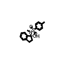 Cc1ccc(S(=O)(=O)N(C)[C@@]2(O)CCc3ccccc32)cc1